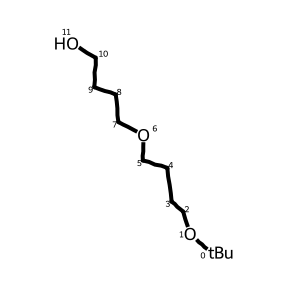 CC(C)(C)OCCCCOCCCCO